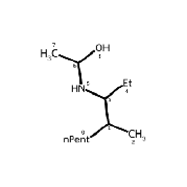 CCCCCC(C)C(CC)NC(C)O